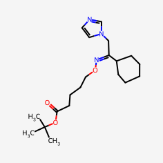 CC(C)(C)OC(=O)CCCCO/N=C(/Cn1ccnc1)C1CCCCC1